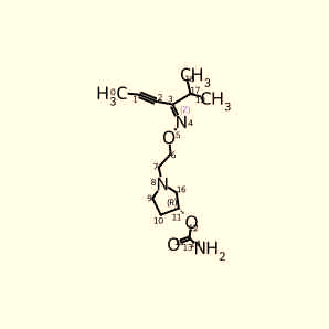 CC#C/C(=N\OCCN1CC[C@@H](OC(N)=O)C1)C(C)C